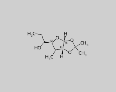 CCC(O)[C@H]1O[C@@H]2OC(C)(C)O[C@@H]2C1C